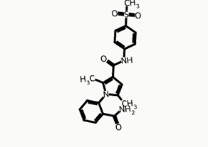 Cc1cc(C(=O)Nc2ccc(S(C)(=O)=O)cc2)c(C)n1-c1ccccc1C(N)=O